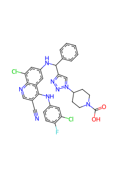 N#Cc1cnc2c(Cl)cc(NC(c3ccccc3)c3cn(C4CCN(C(=O)O)CC4)nn3)cc2c1Nc1ccc(F)c(Cl)c1